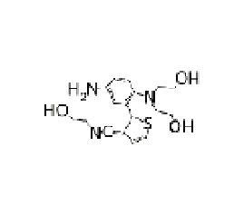 Nc1ccc(N(CCO)CCO)c(C2SC=CC2=C=NCCO)c1